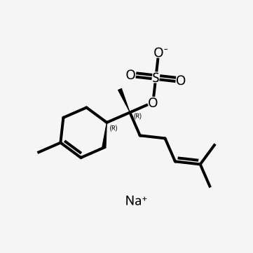 CC(C)=CCC[C@@](C)(OS(=O)(=O)[O-])[C@H]1CC=C(C)CC1.[Na+]